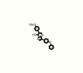 COc1ccc(-c2cnc3c(-c4ccc(Sc5ccccc5)cc4)cnn3c2O)cc1